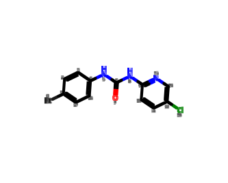 CCc1ccc(NC(=O)Nc2ccc(Cl)cn2)cc1